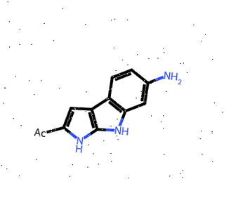 CC(=O)c1cc2c([nH]1)[nH]c1cc(N)ccc12